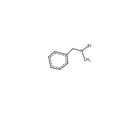 CCN(C)Cc1ccccc1